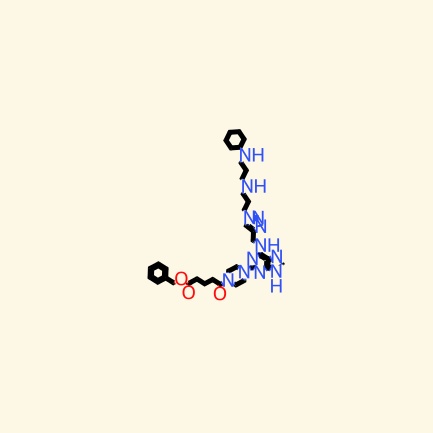 O=C(CCCC(=O)N1CCN(c2nc(NCc3cn(CCCNCCCNC4CCCCC4)nn3)c3nc[nH]c3n2)CC1)OCc1ccccc1